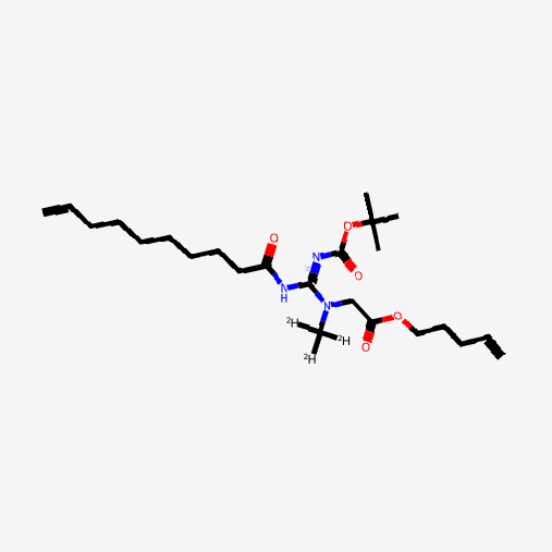 [2H]C([2H])([2H])N(CC(=O)OCCCC=C)/C(=N\C(=O)OC(C)(C)C)NC(=O)CCCCCCCC=C